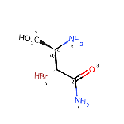 Br.NC(=O)C[C@H](N)C(=O)O